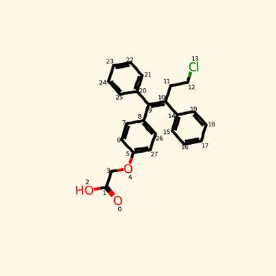 O=C(O)COc1ccc(/C(=C(/CCCl)c2ccccc2)c2ccccc2)cc1